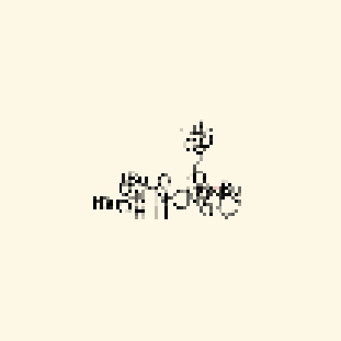 CCCCOC(=O)N1CCC(NC(=O)C(NC(=O)OC(C)(C)C)C(C)(C)C)C[C@]1(CCCCB1OC(C)(C)C(C)(C)O1)C(=O)OCc1ccccc1